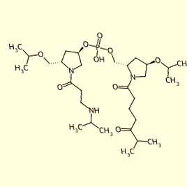 CC(C)NCCC(=O)N1C[C@H](OP(=O)(O)OC[C@@H]2C[C@@H](OC(C)C)CN2C(=O)CCCC(=O)C(C)C)C[C@H]1COC(C)C